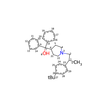 CC(CN1CCC(C(O)(c2ccccc2)c2ccccc2)CC1)c1ccc(C(C)(C)C)cc1